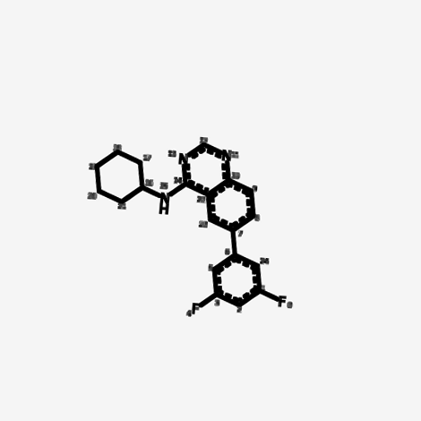 Fc1cc(F)cc(-c2ccc3ncnc(NC4CCCCC4)c3c2)c1